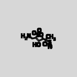 CC(C)(S)C1OS(=O)(=O)C(CN)C1O